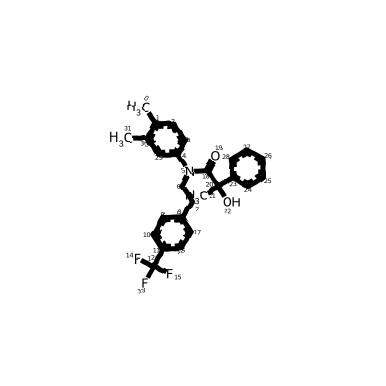 Cc1ccc(N(CCc2ccc(C(F)(F)F)cc2)C(=O)C(C)(O)c2ccccc2)cc1C